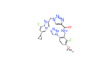 COc1ccc(-n2cnnn2)c(CNC(=O)c2cn(Cc3cn4cc(C5CC5)cc(F)c4n3)nn2)c1F